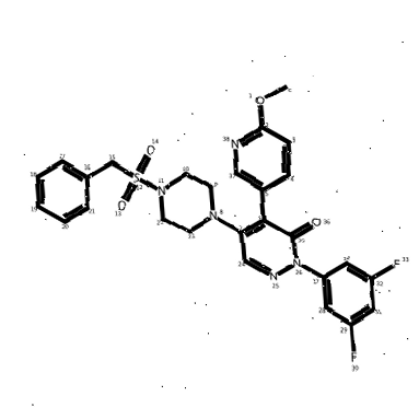 COc1ccc(-c2c(N3CCN(S(=O)(=O)Cc4ccccc4)CC3)cnn(-c3cc(F)cc(F)c3)c2=O)cn1